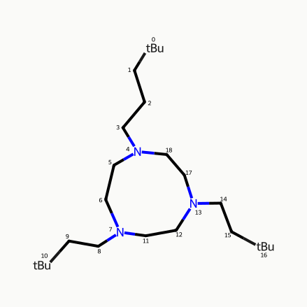 CC(C)(C)CCCN1CCN(CCC(C)(C)C)CCN(CCC(C)(C)C)CC1